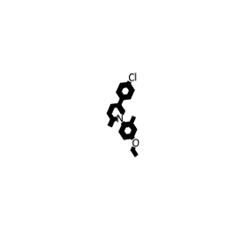 C=C1C=CC(c2ccc(Cl)cc2)=CN1c1ccc(OCC)cc1C